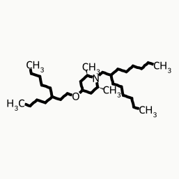 CCCCCCC(CCCCCC)CN1[C@H](C)CC(OCCC(CCCC)CCCCC)C[C@@H]1C